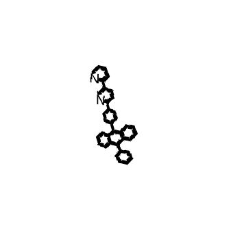 c1ccc(-c2c3ccccc3c(-c3ccc(-c4ccc(-c5ccccn5)cn4)cc3)c3ccccc23)cc1